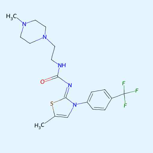 Cc1cn(-c2ccc(C(F)(F)F)cc2)/c(=N/C(=O)NCCN2CCN(C)CC2)s1